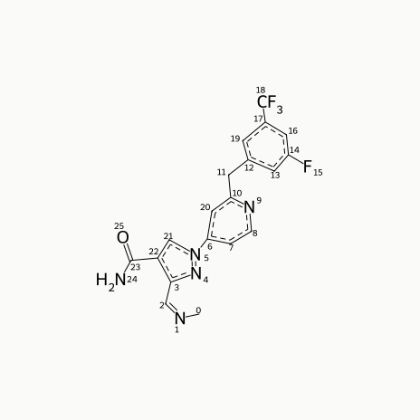 C/N=C\c1nn(-c2ccnc(Cc3cc(F)cc(C(F)(F)F)c3)c2)cc1C(N)=O